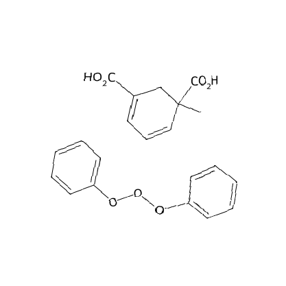 CC1(C(=O)O)C=CC=C(C(=O)O)C1.c1ccc(OOOc2ccccc2)cc1